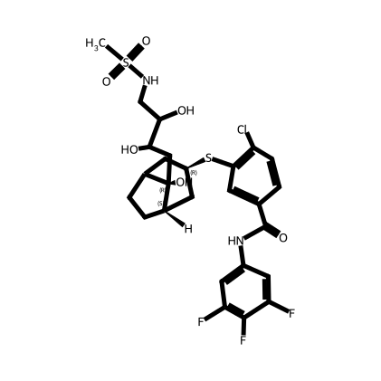 CS(=O)(=O)NCC(O)C(O)C[C@@]1(O)C2CC[C@H]1C[C@H](Sc1cc(C(=O)Nc3cc(F)c(F)c(F)c3)ccc1Cl)C2